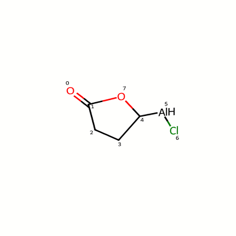 O=C1CC[CH]([AlH][Cl])O1